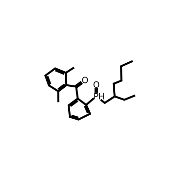 CCCCC(CC)C[PH](=O)c1ccccc1C(=O)c1c(C)cccc1C